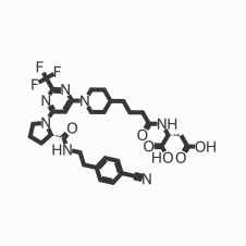 N#Cc1ccc(CCNC(=O)[C@@H]2CCCN2c2cc(N3CCC(CCCC(=O)N[C@H](CC(=O)O)C(=O)O)CC3)nc(C(F)(F)F)n2)cc1